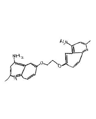 Cc1cc(N)c2cc(OCCOc3ccc4nc(C)cc(N)c4c3)ccc2n1